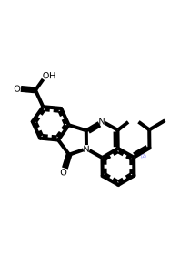 CC1=c2c(ccc/c2=C/C(C)C)N2C(=O)c3ccc(C(=O)O)cc3C2=N1